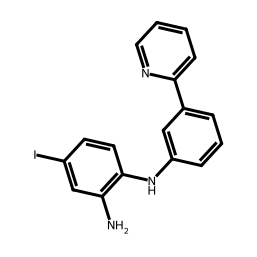 Nc1cc(I)ccc1Nc1cccc(-c2ccccn2)c1